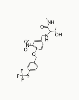 CNC(=O)C(NCc1ccc(OCc2ccc(SC(F)(F)F)cc2)c([N+](=O)[O-])c1)C(C)O